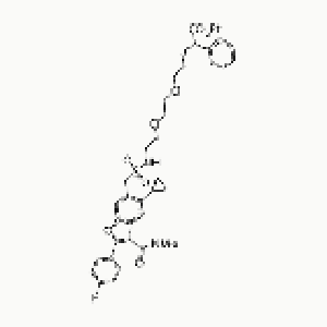 CCOC(=O)C(OCCOCCOCCNS(=O)(=O)Cc1cc2oc(-c3ccc(F)cc3)c(C(=O)NC)c2cc1C1CC1)c1ccccc1